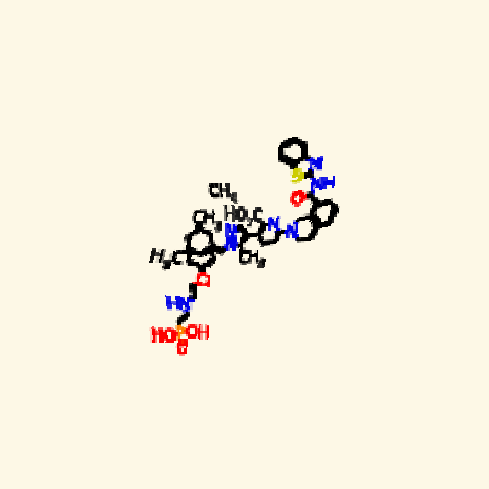 C.Cc1c(-c2ccc(N3CCc4cccc(C(=O)Nc5nc6ccccc6s5)c4C3)nc2C(=O)O)cnn1CC12CC(C)CC(C)(CC(OCCNCCP(=O)(O)O)C1)C2